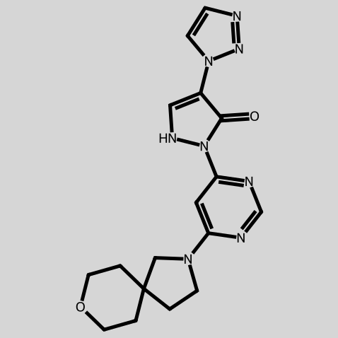 O=c1c(-n2ccnn2)c[nH]n1-c1cc(N2CCC3(CCOCC3)C2)ncn1